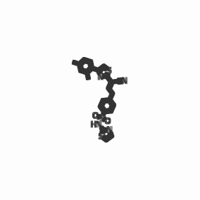 Cc1ccc(-c2csc(C(C#N)=CCc3ccc(S(=O)(=O)Nc4nccs4)cc3)n2)c(C)c1